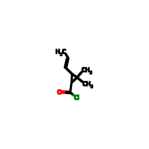 CC=CC1C(C(=O)Cl)C1(C)C